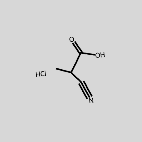 CC(C#N)C(=O)O.Cl